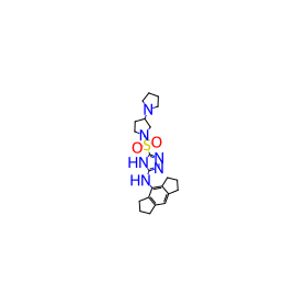 O=S(=O)(c1nnc(Nc2c3c(cc4c2CCC4)CCC3)[nH]1)N1CCC(N2CCCC2)C1